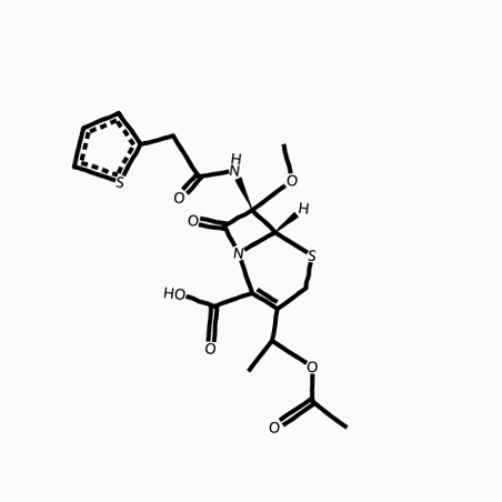 CO[C@@]1(NC(=O)Cc2cccs2)C(=O)N2C(C(=O)O)=C(C(C)OC(C)=O)CS[C@H]21